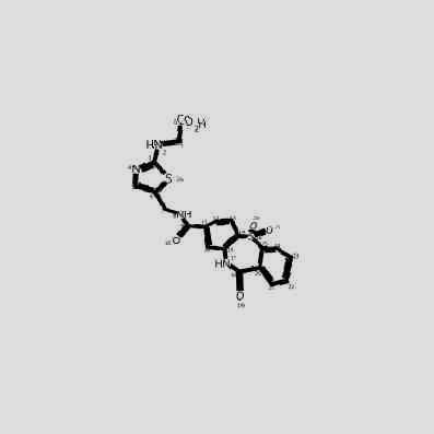 O=C(O)CNc1ncc(CNC(=O)c2ccc3c(c2)NC(=O)c2ccccc2S3(=O)=O)s1